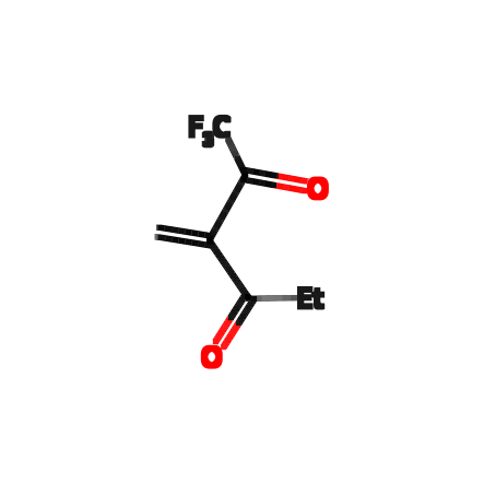 C=C(C(=O)CC)C(=O)C(F)(F)F